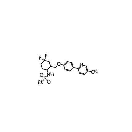 CCS(=O)(=O)NC1CCC(F)(F)CC1COc1ccc(-c2ccc(C#N)cn2)cc1